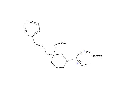 C=N/C=N\C(=C/C)N1CCCC(CO)(CCCc2ccccc2)C1